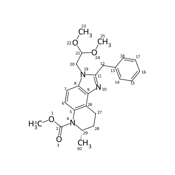 COC(=O)N1c2ccc3c(nc(Cc4ccccc4)n3CC(OC)OC)c2CC[C@@H]1C